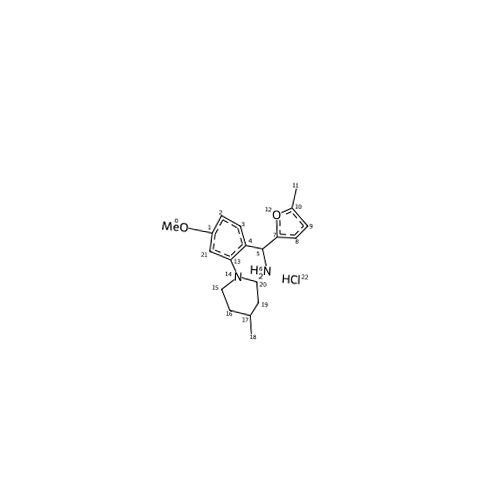 COc1ccc(C(N)c2ccc(C)o2)c(N2CCC(C)CC2)c1.Cl